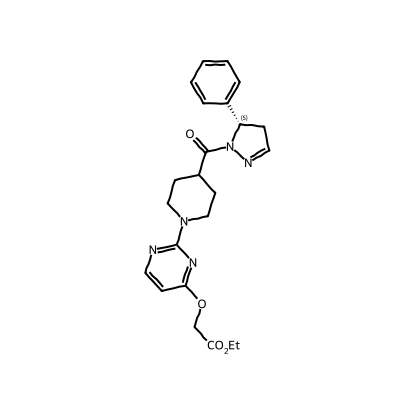 CCOC(=O)COc1ccnc(N2CCC(C(=O)N3N=CC[C@H]3c3ccccc3)CC2)n1